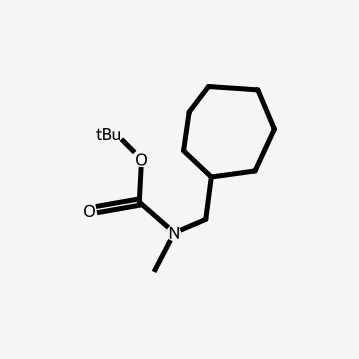 CN(CC1CCCCCC1)C(=O)OC(C)(C)C